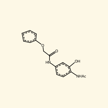 CC(=O)Nc1ccc(NC(=O)COc2ccccc2)cc1O